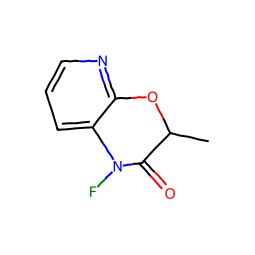 CC1Oc2ncccc2N(F)C1=O